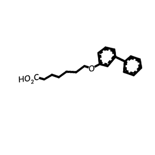 O=C(O)CCCCCCOc1cccc(-c2ccccc2)c1